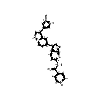 Cn1cc(-c2cnn3ccc(-c4c[nH]c5nc(NC(=O)c6ccncc6)ccc45)cc23)cn1